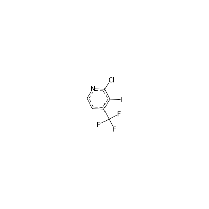 FC(F)(F)c1ccnc(Cl)c1I